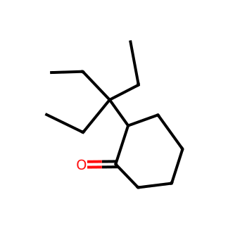 CCC(CC)(CC)C1CCCCC1=O